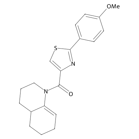 COc1ccc(-c2nc(C(=O)N3CCCC4CCCC=C43)cs2)cc1